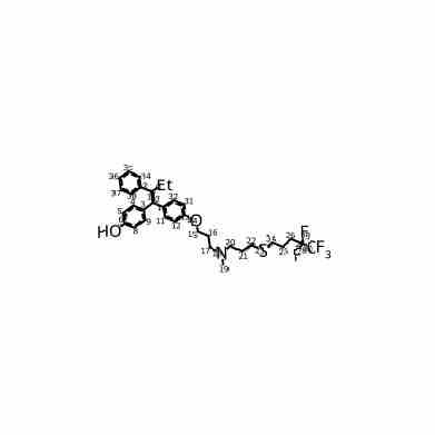 CC/C(=C(/c1ccc(O)cc1)c1ccc(OCCCN(C)CCCSCCCC(F)(F)C(F)(F)F)cc1)c1ccccc1